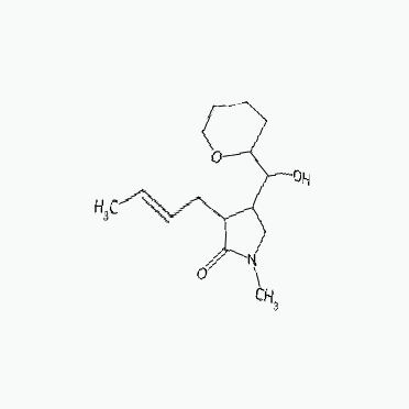 CC=CCC1C(=O)N(C)CC1C(O)C1CCCCO1